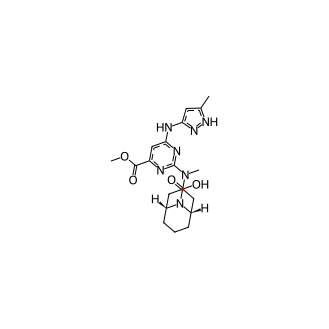 COC(=O)c1cc(Nc2cc(C)[nH]n2)nc(N(C)C2C[C@H]3CCC[C@@H](C2)N3C(=O)O)n1